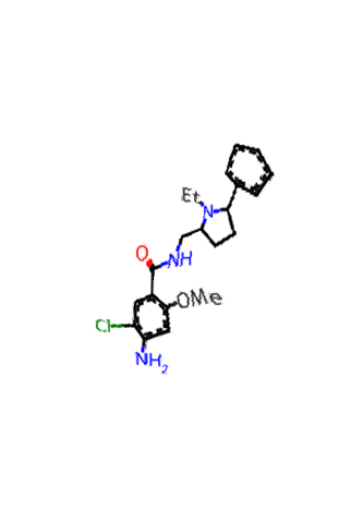 CCN1C(CNC(=O)c2cc(Cl)c(N)cc2OC)CCC1c1ccccc1